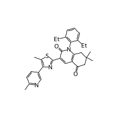 CCc1cccc(CC)c1-n1c2c(cc(-c3nc(-c4ccc(C)nc4)c(C)s3)c1=O)C(=O)CC(C)(C)C2